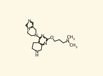 CN(C)CCCOc1nc2c(c(N3CCn4cncc4C3)n1)CCNC2